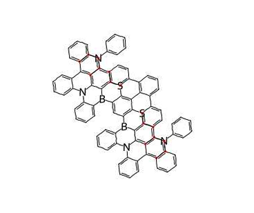 c1ccc(-c2ccccc2N2c3ccccc3B3c4cc5c(c(-c6c(-c7ccccc7)cccc6-c6ccccc6)c4Sc4cc(N(c6ccccc6)c6ccccc6)cc2c43)Sc2cc(N(c3ccccc3)c3ccccc3)cc3c2B5c2ccccc2N3c2ccccc2-c2ccccc2)cc1